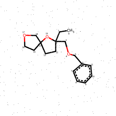 CCC1(COCc2ccccc2)CCC2(CCOC2)O1